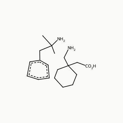 CC(C)(N)Cc1ccccc1.NCC1(CC(=O)O)CCCCC1